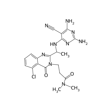 CC(Nc1nc(N)nc(N)c1C#N)c1nc2cccc(Cl)c2c(=O)n1CCC(=O)N(C)C